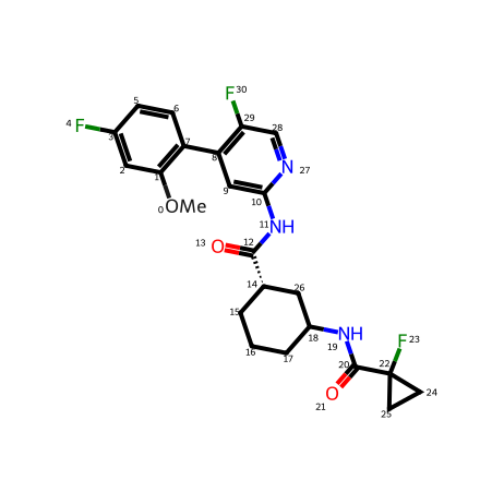 COc1cc(F)ccc1-c1cc(NC(=O)[C@H]2CCCC(NC(=O)C3(F)CC3)C2)ncc1F